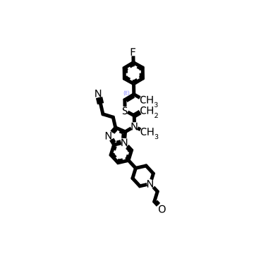 C=C(S/C=C(\C)c1ccc(F)cc1)N(C)c1c(CCC#N)nc2ccc(C3CCN(CC=O)CC3)cn12